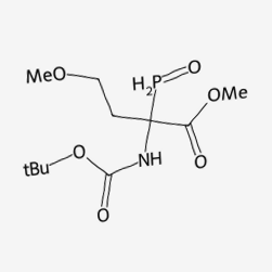 COCCC(NC(=O)OC(C)(C)C)([PH2]=O)C(=O)OC